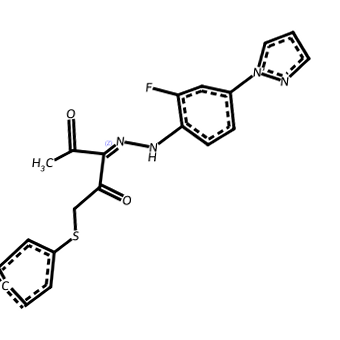 CC(=O)/C(=N/Nc1ccc(-n2cccn2)cc1F)C(=O)CSc1ccccc1